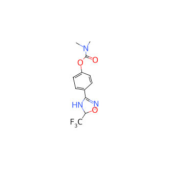 CN(C)C(=O)Oc1ccc(C2=NOC(C(F)(F)F)N2)cc1